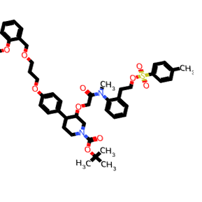 COc1ccccc1COCCCOc1ccc(C2CCN(C(=O)OC(C)(C)C)CC2OCC(=O)N(C)c2ccccc2CCOS(=O)(=O)c2ccc(C)cc2)cc1